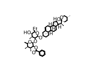 CCC1O[C@@H](O[C@H]2CC[C@@]3(C)C(=CC[C@H]4[C@@H]5C[C@@H]6O[C@]7(CC[C@@H](C)CO7)[C@@H](C)[C@@H]6[C@@]5(C)CC[C@@H]43)C2)C(O[C@@H]2OC(C)[C@H](C)[C@H](C)C2OC(=O)c2ccccc2)[C@@H](C)[C@@H]1O